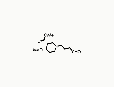 COC(=O)[C@@H]1CN(CCCC=O)CC[C@@H]1OC